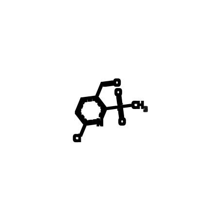 CS(=O)(=O)c1nc(Cl)ccc1C=O